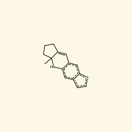 CC12CCCC1=Cc1cc3sccc3cc1N2